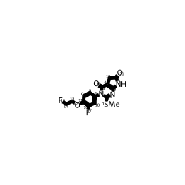 CSc1nc2c(c(=O)n1-c1ccc(OCCF)c(F)c1)CC(=O)N2